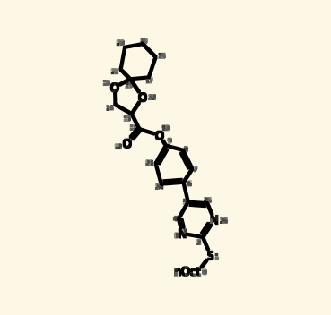 CCCCCCCCSc1ncc(-c2ccc(OC(=O)C3COC4(CCCCC4)O3)cc2)cn1